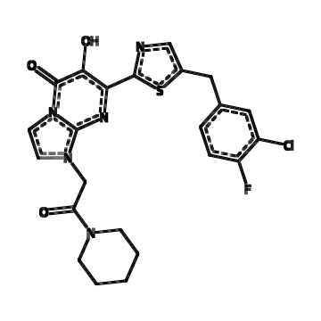 O=C(Cn1ccn2c(=O)c(O)c(-c3ncc(Cc4ccc(F)c(Cl)c4)s3)nc12)N1CCCCC1